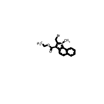 CCOC(=O)c1c(CBr)n(C)c2c1ccc1ccccc12